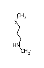 [CH2]NCCCSC